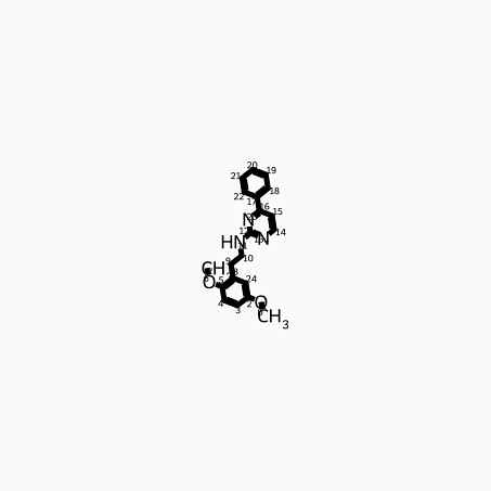 COc1ccc(OC)c(CCNc2nccc(-c3ccccc3)n2)c1